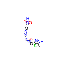 O=C1CC(c2ccc(N3CCN(CCCN4CCN(c5cccc(-c6cnc7[nH]cc(C8CC8)c7c6Cl)c5)C(=O)C4)CC3)cc2)CC(=O)N1